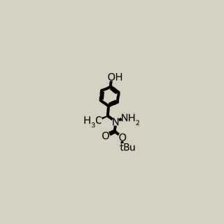 C[C@@H](c1ccc(O)cc1)N(N)C(=O)OC(C)(C)C